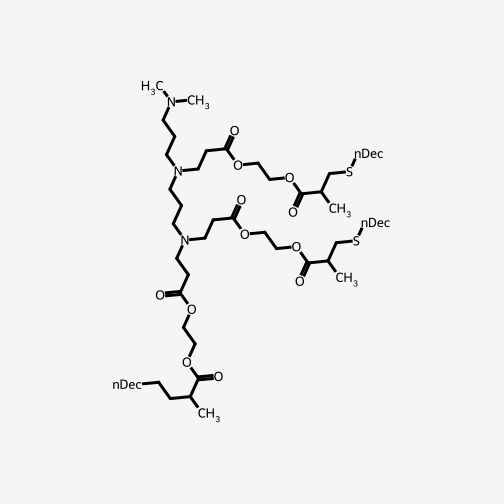 CCCCCCCCCCCCC(C)C(=O)OCCOC(=O)CCN(CCCN(CCCN(C)C)CCC(=O)OCCOC(=O)C(C)CSCCCCCCCCCC)CCC(=O)OCCOC(=O)C(C)CSCCCCCCCCCC